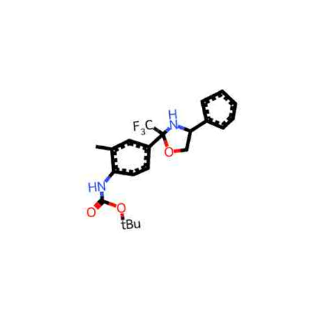 Cc1cc(C2(C(F)(F)F)NC(c3ccccc3)CO2)ccc1NC(=O)OC(C)(C)C